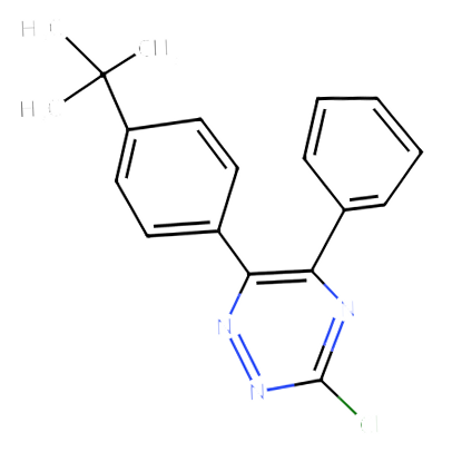 CC(C)(C)c1ccc(-c2nnc(Cl)nc2-c2ccccc2)cc1